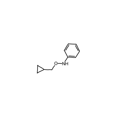 c1ccc(NOCC2CC2)cc1